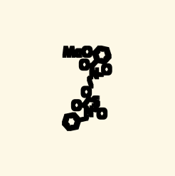 COc1cccc2c1C(=O)N(CCOC1SC(=O)N(Cc3ccccc3)C1=O)CO2